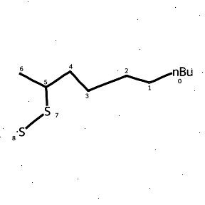 CCCCCCCCC(C)S[S]